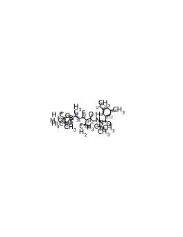 C=C(F)C(C(=O)CNN(C(=O)C1=CC(C)CC(CC)=C1)C(C)(C)C)C(F)/C=C(\C)B1OC(C)(C)C(C)(C)O1